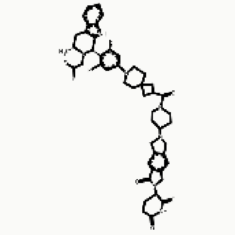 C[C@@H]1Cc2c([nH]c3ccccc23)[C@@H](c2c(F)cc(N3CCC4(CC3)CC(C(=O)N3CCC(N5Cc6cc7c(cc6C5)C(=O)N(C5CCC(=O)NC5=O)C7)CC3)C4)cc2F)N1CC(F)F